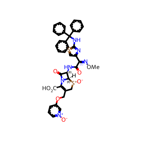 CO/N=C(\C(=O)N[C@@H]1C(=O)N2C(C(=O)O)=C(COc3ccc[n+]([O-])c3)C[S+]([O-])[C@H]12)c1csc(NC(c2ccccc2)(c2ccccc2)c2ccccc2)n1